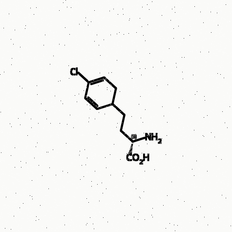 N[C@@H](CCC1C=CC(Cl)=CC1)C(=O)O